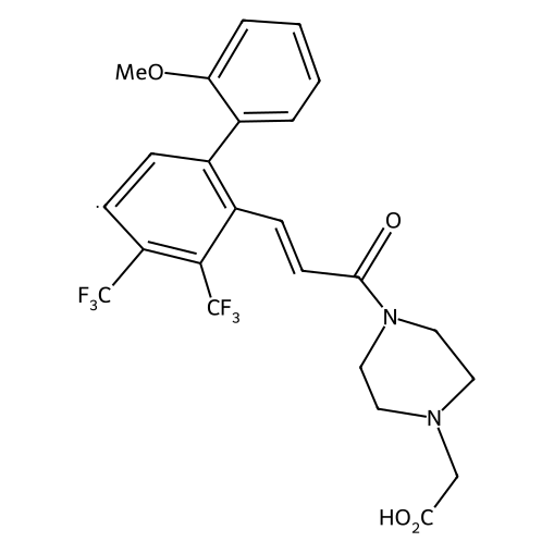 COc1ccccc1-c1c[c]c(C(F)(F)F)c(C(F)(F)F)c1/C=C/C(=O)N1CCN(CC(=O)O)CC1